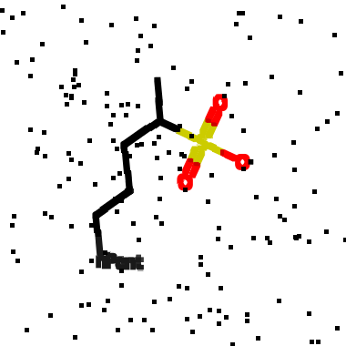 CCCCCCCCC(C)S([O])(=O)=O